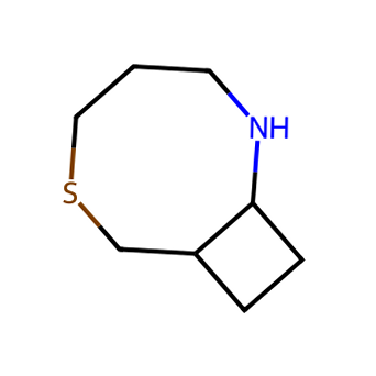 C1CNC2CCC2CSC1